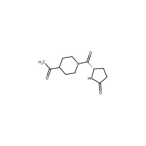 CC(=O)C1CCN(C(=O)[C@@H]2CCC(=O)N2)CC1